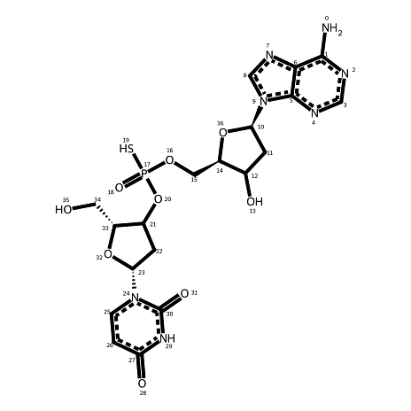 Nc1ncnc2c1ncn2[C@H]1CC(O)[C@@H](COP(=O)(S)OC2C[C@H](n3ccc(=O)[nH]c3=O)O[C@@H]2CO)O1